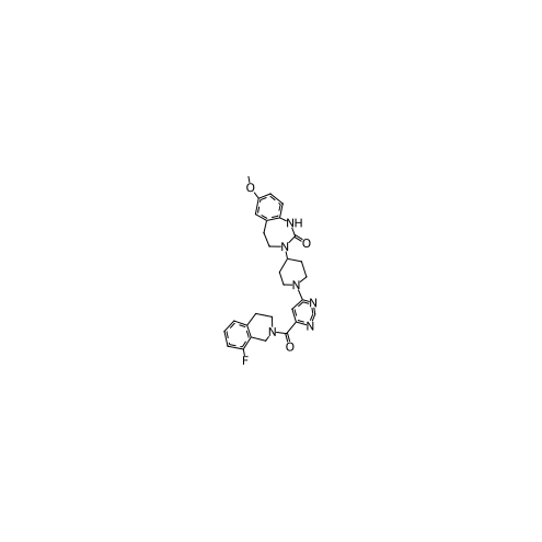 COc1ccc2c(c1)CCN(C1CCN(c3cc(C(=O)N4CCc5cccc(F)c5C4)ncn3)CC1)C(=O)N2